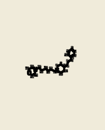 c1ccc(CCCC2CCN(CCCCCCN3CCOCC3)CC2)cc1